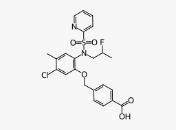 Cc1cc(N(CC(C)F)S(=O)(=O)c2ccccn2)c(OCc2ccc(C(=O)O)cc2)cc1Cl